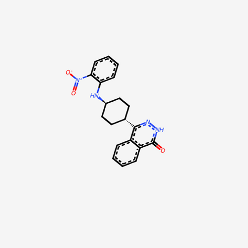 O=c1[nH]nc([C@H]2CC[C@H](Nc3ccccc3[N+](=O)[O-])CC2)c2ccccc12